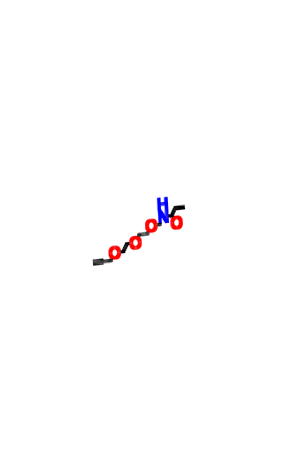 C#CCOCCOCCOCNC(=O)C=C